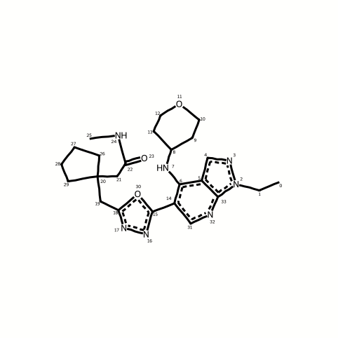 CCn1ncc2c(NC3CCOCC3)c(-c3nnc(CC4(CC(=O)NC)CCCC4)o3)cnc21